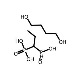 CCC([PH](=O)O)P(=O)(O)O.OCCCCO